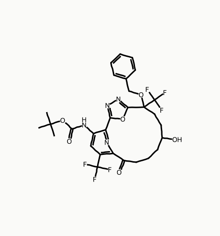 CC(C)(C)OC(=O)Nc1cc(C(F)(F)F)c2nc1-c1nnc(o1)C(OCc1ccccc1)(C(F)(F)F)CCC(O)CCCC2=O